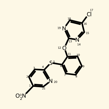 O=[N+]([O-])c1ccc(Sc2ccccc2Oc2ncc(Cl)cn2)nc1